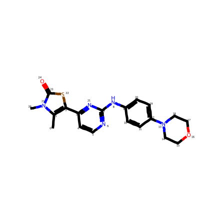 Cc1c(-c2ccnc(Nc3ccc(N4CCOCC4)cc3)n2)sc(=O)n1C